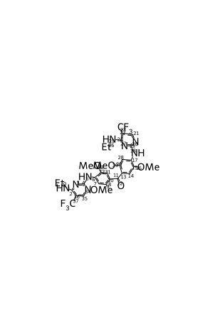 CCNc1nc(Nc2cc(OC)c(C(=O)c3cc(OC)c(Nc4ncc(C(F)(F)F)c(NCC)n4)cc3OC)cc2OC)ncc1C(F)(F)F